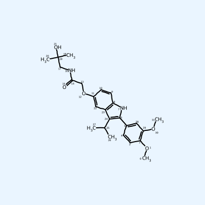 COc1ccc(-c2[nH]c3ccc(OCC(=O)NCC(C)(C)O)cc3c2C(C)C)cc1OC